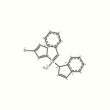 CCC1=CC[C]([Zr]([CH3])(=[CH]c2ccccc2)[CH]2C=Cc3ccccc32)=C1